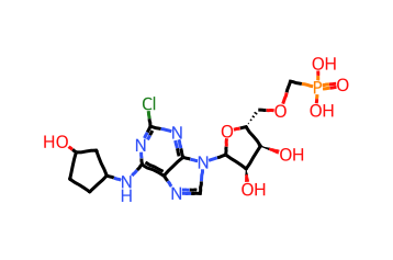 O=P(O)(O)COC[C@H]1OC(n2cnc3c(NC4CCC(O)C4)nc(Cl)nc32)[C@H](O)[C@@H]1O